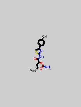 CSCCC(OC(N)=O)C(=O)Nc1nc(-c2ccc(C#N)cc2)cs1